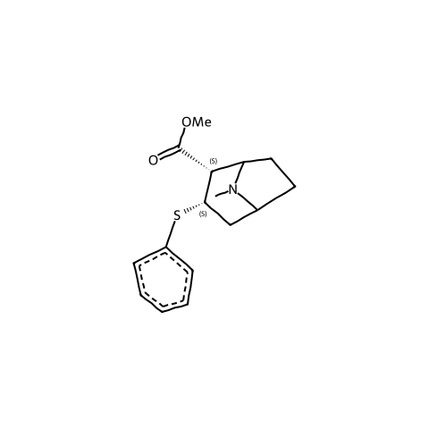 COC(=O)[C@@H]1C2CCC(C[C@@H]1Sc1ccccc1)N2C